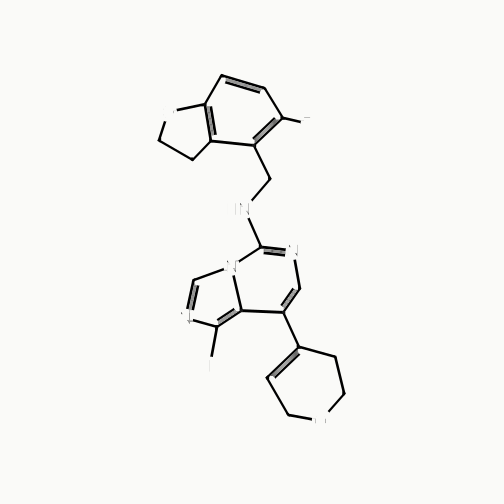 Fc1ccc2c(c1CNc1ncc(C3=CCOCC3)c3c(I)ncn13)CCO2